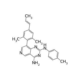 C/C=C/c1cc(C)c(-c2cncc3c(N)nc(Nc4ccc(C)cc4)nc23)c(C)c1